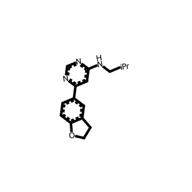 CC(C)CNc1cc(-c2ccc3c(c2)CCO3)ncn1